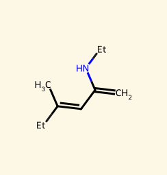 C=C(/C=C(\C)CC)NCC